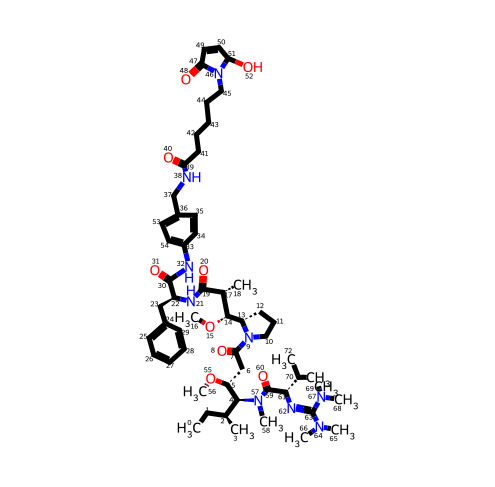 CC[C@H](C)[C@@H]([C@@H](CC(=O)N1CCC[C@H]1[C@H](OC)[C@@H](C)C(=O)N[C@@H](Cc1ccccc1)C(=O)Nc1ccc(CNC(=O)CCCCCN2C(=O)C=CC2O)cc1)OC)N(C)C(=O)[C@@H](N=C(N(C)C)N(C)C)C(C)C